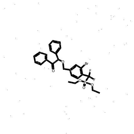 CCOP(=O)(OCC)C(F)(F)c1ccc(COC(C(=O)c2ccccc2)c2ccccc2)cc1Br